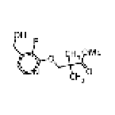 COC(=O)C(C)(C)COc1nccc(CO)c1F